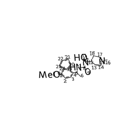 COc1ccc(C(C)NC(=O)N(O)C2CCN(C)CC2)c2ccccc12